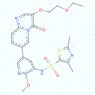 CCOCCOc1cnc2ccc(-c3cnc(OC)c(NS(=O)(=O)c4sc(C)nc4C)c3)cn2c1=O